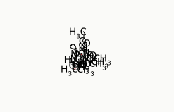 CCCCOC(=O)ON1CCN(C(=O)C(CP(=O)(OC(C)OC(=O)C(C)C)O[C@H](C)OC(=O)C(C)C)NC(=O)c2cc(N3CC[C@H](OC)C3)nc(-c3ccccc3)n2)CC1